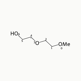 COCCO[CH]CO